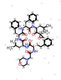 CC(C)C[C@H](NC(=O)[C@H](CCc1ccccc1)NC(=O)CN1CCOCC1)C(=O)N[C@@H](Cc1ccccc1)C(=O)N[C@@H](Cc1ccccc1)C(=O)N[C@@H](CC(C)C)C(=O)[C@@]1(C)CO1